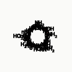 CCCC[C@H]1C(=O)N(C)[C@@H](CCCC)C(=O)N[C@@H](CC(C)C)C(=O)N[C@H](C(=O)NCC(N)=O)CSCC(=O)N[C@@H](Cc2ccc(O)cc2)C(=O)N(C)[C@@H](C)C(=O)N[C@@H](CC(N)=O)C(=O)N2CCCC2C(=O)N[C@@H](CN)C(=O)N[C@@H](CCCNC(=N)N)C(=O)N2C[C@H](O)C[C@H]2C(=O)N[C@@H](Cc2c[nH]c3ccccc23)C(=O)N[C@@H](CCN)C(=O)N[C@@H](Cc2cn(CC(=O)O)c3ccccc23)C(=O)N1C